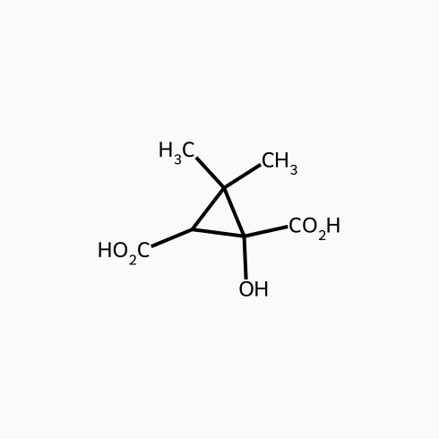 CC1(C)C(C(=O)O)C1(O)C(=O)O